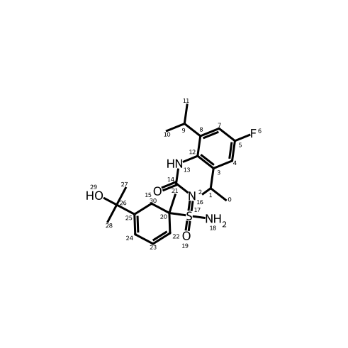 CC(C)c1cc(F)cc(C(C)C)c1NC(=O)N=S(N)(=O)C1(C)C=CC=C(C(C)(C)O)C1